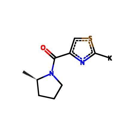 C[C@H]1CCCN1C(=O)c1cs[c]([K])n1